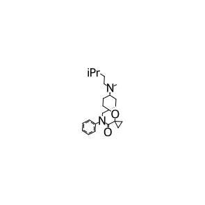 CC(C)CCN(C)[C@H]1CC[C@@]2(CC1)CN(c1ccccc1)C(=O)C1(CC1)O2